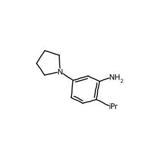 CC(C)c1ccc(N2CCCC2)cc1N